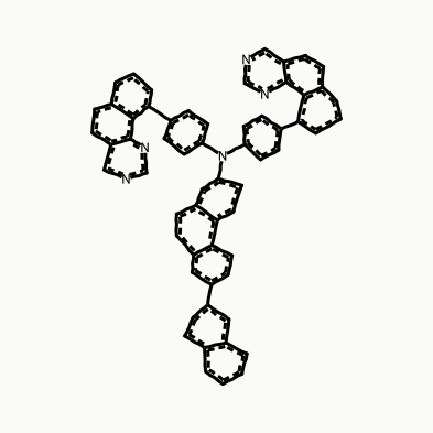 c1ccc2cc(-c3ccc4c(ccc5cc(N(c6ccc(-c7cccc8ccc9cncnc9c78)cc6)c6ccc(-c7cccc8ccc9cncnc9c78)cc6)ccc54)c3)ccc2c1